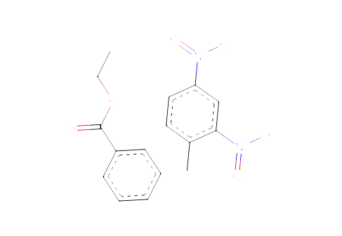 CCOC(=O)c1ccccc1.Cc1ccc([N+](=O)[O-])cc1[N+](=O)[O-]